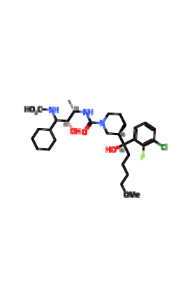 COCCCC[C@@](O)(c1cccc(Cl)c1F)[C@@H]1CCCN(C(=O)N[C@@H](C)[C@H](O)C(NC(=O)O)C2CCCCC2)C1